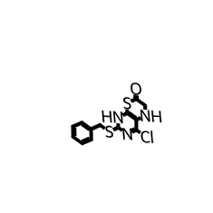 O=C1CNC2=C(NC(SCc3ccccc3)N=C2Cl)S1